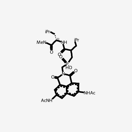 CNC(=O)[C@H](CC(C)C)NC(=O)C(CC(C)C)CP(=O)(O)CN1C(=O)c2cc(NC(C)=O)cc3cc(NC(C)=O)cc(c23)C1=O